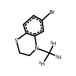 [2H]C([2H])([2H])N1CCSc2ccc(Br)cc21